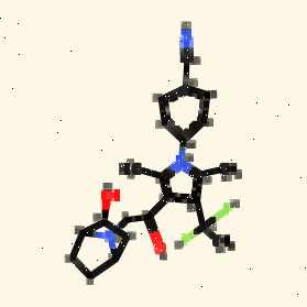 Cc1c(C(=O)CN2C3CCC2[C@@H](O)C3)c(C(C)(F)F)c(C)n1-c1ccc(C#N)cc1